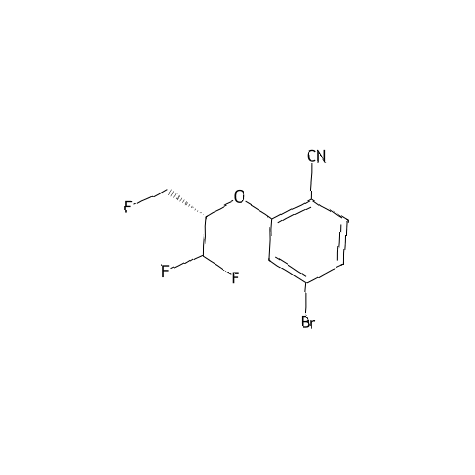 N#Cc1ccc(Br)cc1O[C@@H](CF)C(F)F